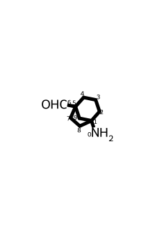 NC12CCCC(C=O)(CC1)C2